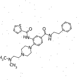 CN(C)CCN1CCN(c2ccc(C(=O)NCCc3ccccc3)cc2NC(=O)c2cccs2)CC1